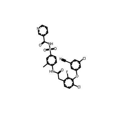 Cc1cc(S(=O)(=O)NC(=O)c2cccnc2)ccc1NC(=O)Cc1ccc(Cl)c(Oc2cc(Cl)cc(C#N)c2)c1F